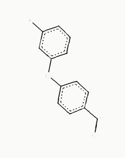 [O]Cc1ccc(Oc2cccc(F)c2)cc1